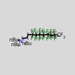 CCCC[N+](CCCC)(CCCC)CCCC(F)(F)C(F)(F)C(F)(F)C(F)(F)C(F)(F)C(F)(F)C(F)(F)C(F)(F)F